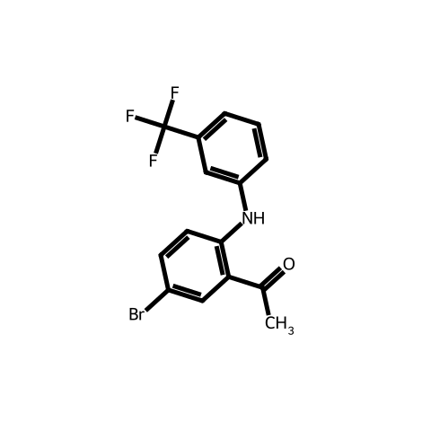 CC(=O)c1cc(Br)ccc1Nc1cccc(C(F)(F)F)c1